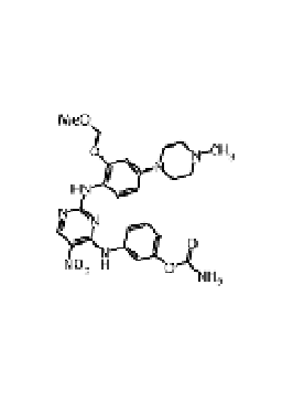 COCOc1cc(N2CCN(C)CC2)ccc1Nc1ncc([N+](=O)[O-])c(Nc2cccc(OC(N)=O)c2)n1